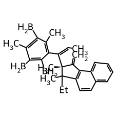 Bc1c(B)c(/C(=C/C)[C@]2(C)C(=C)c3c(ccc4ccccc34)C2(C)CC)c(C)c(B)c1C